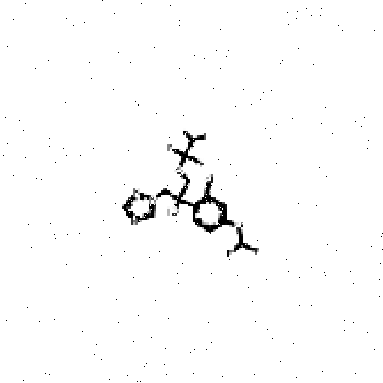 OC(COC(F)(F)C(F)F)(Cn1cncn1)c1ccc(OC(F)F)cc1Cl